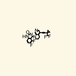 O=c1nc(N2CCCc3c(C#CC4(C(F)F)CC4)cncc32)c2c(F)c(F)ccc2[nH]1